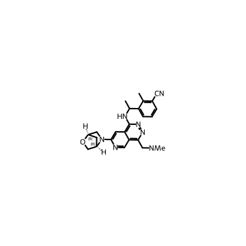 CNCc1nnc(NC(C)c2cccc(C#N)c2C)c2cc(N3C[C@H]4C[C@@H]3CO4)ncc12